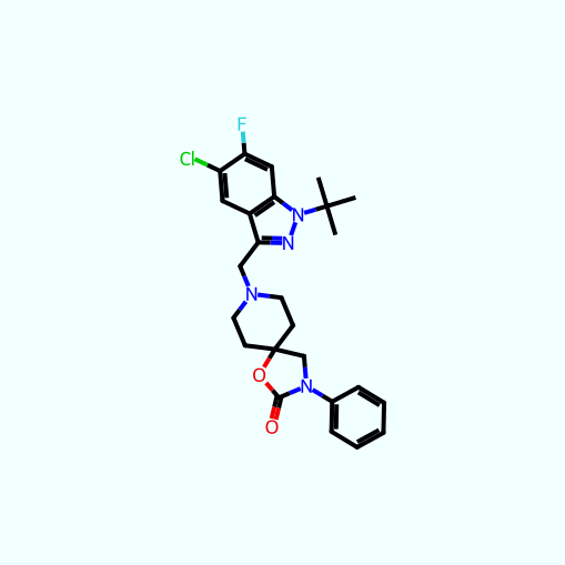 CC(C)(C)n1nc(CN2CCC3(CC2)CN(c2ccccc2)C(=O)O3)c2cc(Cl)c(F)cc21